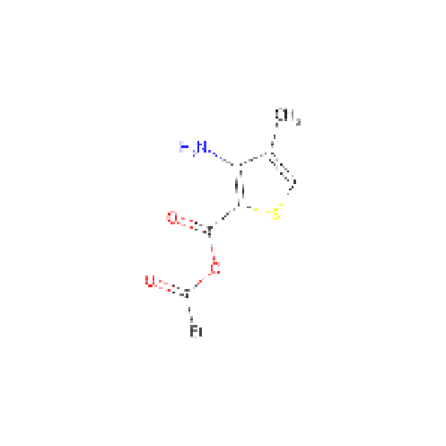 CCC(=O)OC(=O)c1scc(C)c1N